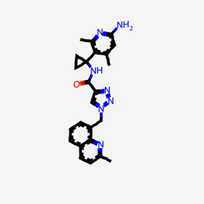 Cc1ccc2cccc(Cn3cc(C(=O)NC4(c5c(C)cc(N)nc5C)CC4)nn3)c2n1